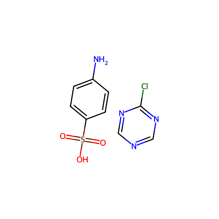 Clc1ncncn1.Nc1ccc(S(=O)(=O)O)cc1